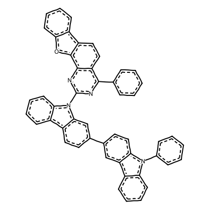 c1ccc(-c2nc(-n3c4ccccc4c4ccc(-c5ccc6c(c5)c5ccccc5n6-c5ccccc5)cc43)nc3c2ccc2c4ccccc4oc23)cc1